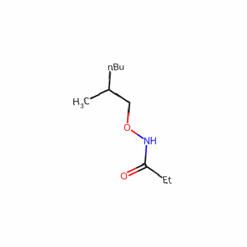 CCCCC(C)CONC(=O)CC